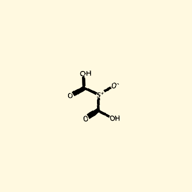 O=C(O)[S+]([O-])C(=O)O